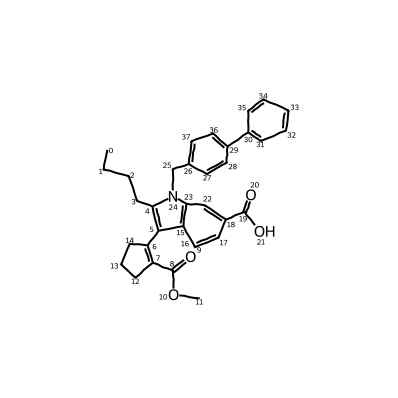 CCCCc1c(C2=C(C(=O)OC)CCC2)c2ccc(C(=O)O)cc2n1Cc1ccc(-c2ccccc2)cc1